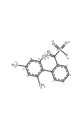 C=C(c1ccccc1-c1c(C)cc(C)cc1C)S(=O)(=O)F